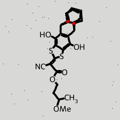 COC(C)CCOC(=O)/C(C#N)=C1/Sc2c(O)c3c(c(O)c2S1)C1c2ccccc2C3C2=CC=CCC21